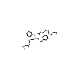 CC(Br)CC(C)CC(C)CCCC(OCc1ccccc1)OC(CCCC(C)CC(C)CC(C)Br)OCc1ccccc1